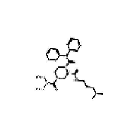 CCCCCN(CCCCC)C(=O)N1CCN(C(=O)N(c2ccccc2)c2ccccc2)[C@H](C(=O)NCCCN(C)C)C1